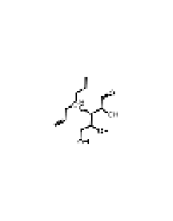 C=CCOCC=C.O=CC(O)C(O)C(O)CO